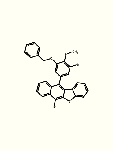 COc1c(Br)cc(-c2c3ccccc3c(Br)c3sc4ccccc4c23)cc1OCc1ccccc1